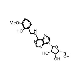 COc1cccc(CNc2ncnc3c2ncn3[C@@H]2O[C@H](CO)[C@@H](O)[C@@H]2O)c1O